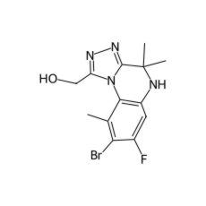 Cc1c(Br)c(F)cc2c1-n1c(CO)nnc1C(C)(C)N2